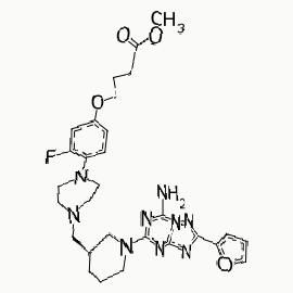 COC(=O)CCCOc1ccc(N2CCN(C[C@@H]3CCCN(c4nc(N)n5nc(-c6ccco6)nc5n4)C3)CC2)c(F)c1